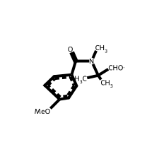 COc1ccc(C(=O)N(C)C(C)(C)[C]=O)cc1